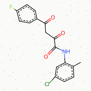 Cc1ccc(Cl)cc1NC(=O)C(=O)CC(=O)c1ccc(F)cc1